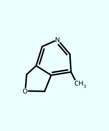 Cc1cncc2c1COC2